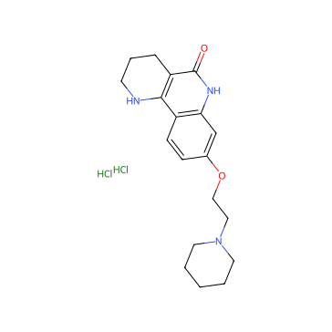 Cl.Cl.O=c1[nH]c2cc(OCCN3CCCCC3)ccc2c2c1CCCN2